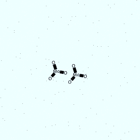 [O]=[Mo](=[O])=[O].[O]=[Mo](=[O])=[O]